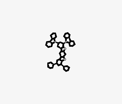 c1ccc(-c2cc(-c3ccccc3)c3oc4cc5oc6c(-n7c8ccccc8c8ccccc87)cc(-n7c8ccccc8c8ccccc87)cc6c5cc4c3c2)cc1